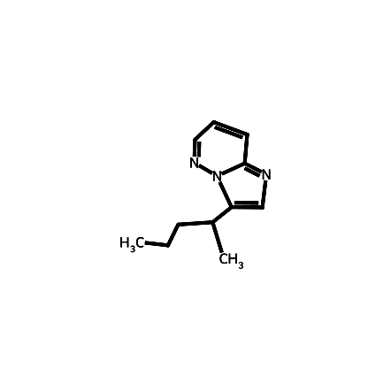 CCCC(C)c1cnc2cccnn12